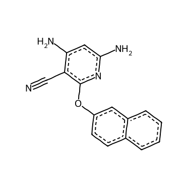 N#Cc1c(N)cc(N)nc1Oc1ccc2ccccc2c1